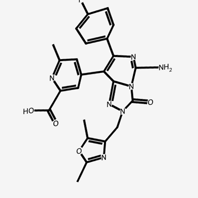 Cc1cc(-c2c(-c3ccc(F)cc3)nc(N)n3c(=O)n(Cc4nc(C)oc4C)nc23)cc(C(=O)O)n1